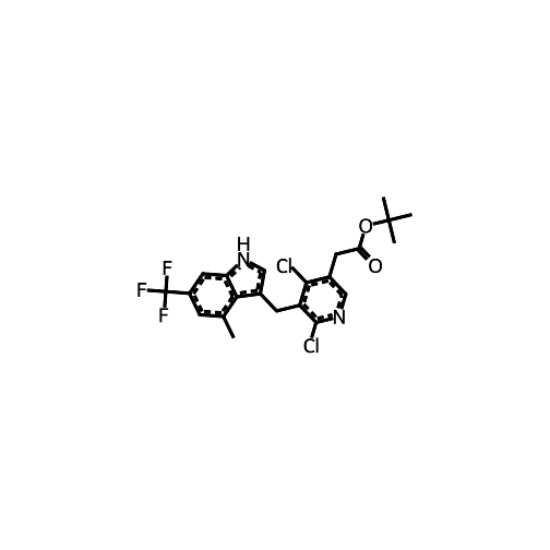 Cc1cc(C(F)(F)F)cc2[nH]cc(Cc3c(Cl)ncc(CC(=O)OC(C)(C)C)c3Cl)c12